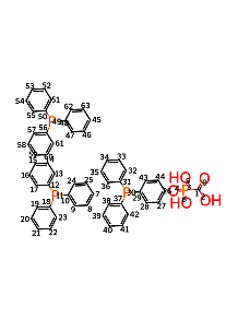 O=C(O)P(=O)(O)O.c1ccc(P(c2ccccc2)c2ccccc2)cc1.c1ccc(P(c2ccccc2)c2ccccc2)cc1.c1ccc(P(c2ccccc2)c2ccccc2)cc1